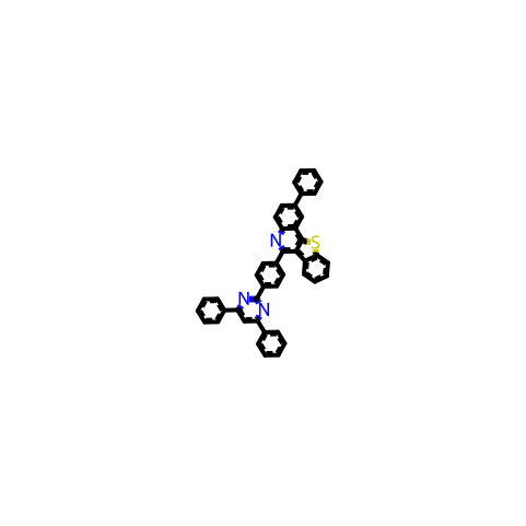 c1ccc(-c2ccc3nc(-c4ccc(-c5nc(-c6ccccc6)cc(-c6ccccc6)n5)cc4)c4c5ccccc5sc4c3c2)cc1